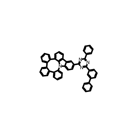 c1ccc(-c2cccc(-c3nc(-c4ccccc4)nc(-c4ccc5c(c4)c4cccc6c7ccccc7c7ccccc7c7ccccc7n5c64)n3)c2)cc1